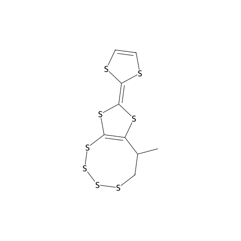 CC1CSSSSC2=C1SC(=C1SC=CS1)S2